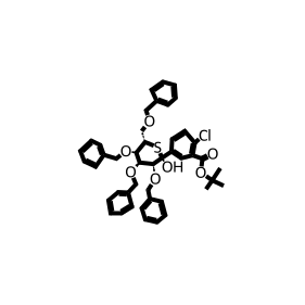 CC(C)(C)OC(=O)c1cc([C@]2(O)S[C@@H](COCc3ccccc3)[C@@H](OCc3ccccc3)[C@H](OCc3ccccc3)[C@H]2OCc2ccccc2)ccc1Cl